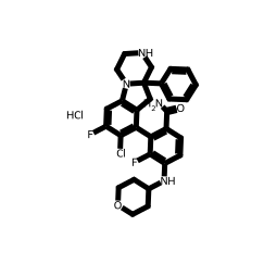 Cl.NC(=O)c1ccc(NC2CCOCC2)c(F)c1-c1c(Cl)c(F)cc2c1CC1(c3ccccc3)CNCCN21